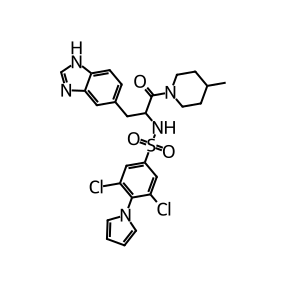 CC1CCN(C(=O)C(Cc2ccc3[nH]cnc3c2)NS(=O)(=O)c2cc(Cl)c(-n3cccc3)c(Cl)c2)CC1